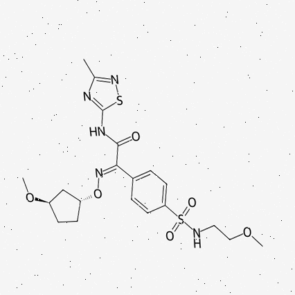 COCCNS(=O)(=O)c1ccc(/C(=N\O[C@@H]2CC[C@@H](OC)C2)C(=O)Nc2nc(C)ns2)cc1